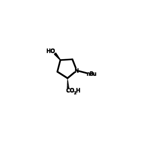 CCCCN1C[C@H](O)C[C@H]1C(=O)O